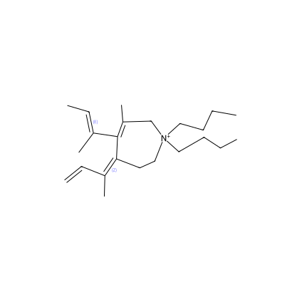 C=C/C(C)=C1/CC[N+](CCCC)(CCCC)CC(C)=C1/C(C)=C/C